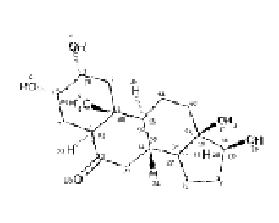 C[C@]12C[C@@H](O)[C@@H](O)C[C@@H]1C(=O)C[C@@H]1[C@@H]2CC[C@]2(C)[C@@H](O)CC[C@@H]12